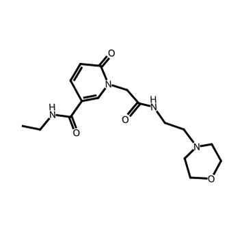 CCNC(=O)c1ccc(=O)n(CC(=O)NCCN2CCOCC2)c1